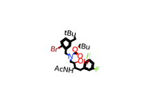 CC(=O)N[C@@H](Cc1cc(F)cc(F)c1)[C@H](O)CN(Cc1cc(CC(C)(C)C)ccc1Br)C(=O)OC(C)(C)C